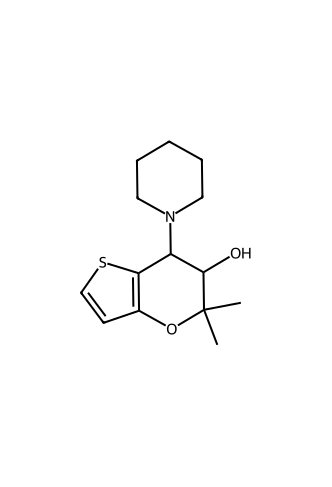 CC1(C)Oc2ccsc2C(N2CCCCC2)C1O